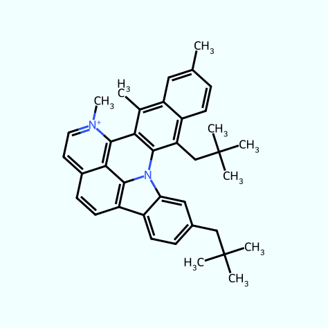 Cc1ccc2c(CC(C)(C)C)c3c(c(C)c2c1)c1c2c(ccc4c5ccc(CC(C)(C)C)cc5n3c42)cc[n+]1C